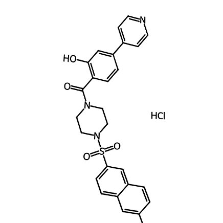 Cl.O=C(c1ccc(-c2ccncc2)cc1O)N1CCN(S(=O)(=O)c2ccc3cc(Cl)ccc3c2)CC1